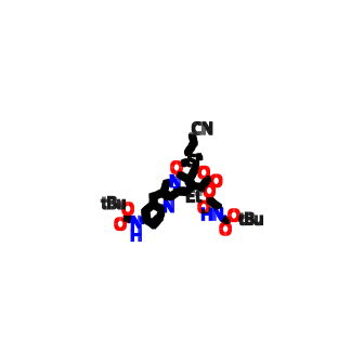 CCC1(OC(=O)CNC(=O)OC(C)(C)C)C(=O)OC([Si](C)(C)CCCC#N)c2c1cc1n(c2=O)Cc2cc3cc(NC(=O)OC(C)(C)C)ccc3nc2-1